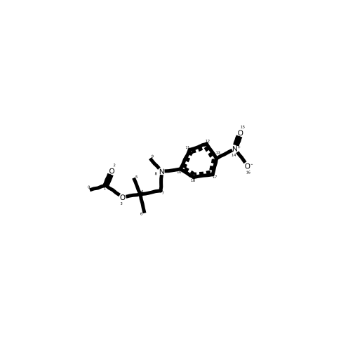 CC(=O)OC(C)(C)CN(C)c1ccc([N+](=O)[O-])cc1